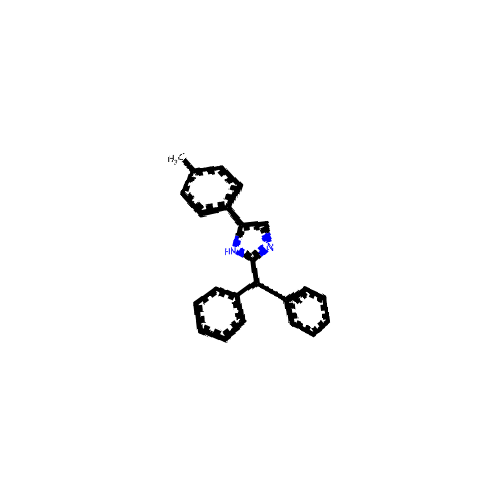 Cc1ccc(-c2cnc(C(c3ccccc3)c3ccccc3)[nH]2)cc1